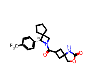 O=C1NC2(CO1)CC(C(=O)N1CC3(CCCC3)[C@H]1c1ccc(C(F)(F)F)cc1)C2